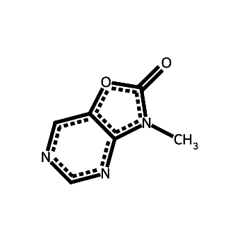 Cn1c(=O)oc2cncnc21